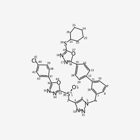 [O-][S@@+](Cc1cn(Cc2cccc(-c3ccc(-c4nnc(SC5CCCCC5)o4)cc3)c2)nn1)c1nnc(-c2ccc(Cl)cc2)o1